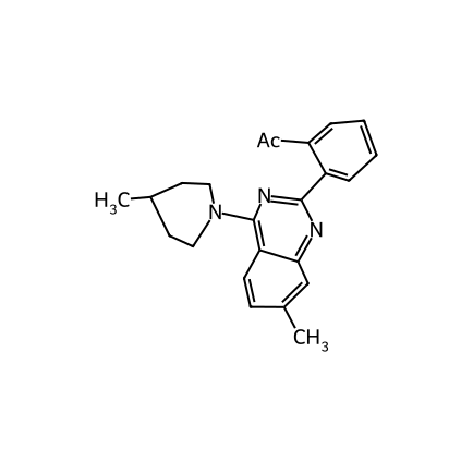 CC(=O)c1ccccc1-c1nc(N2CCC(C)CC2)c2ccc(C)cc2n1